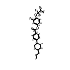 CCCC1CCC(c2ccc(C(=S)Oc3ccc(OC(F)(F)C(F)F)c(F)c3)cc2)CC1